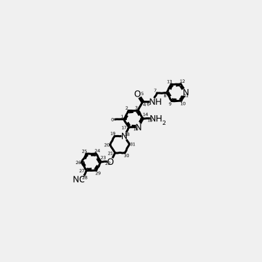 Cc1cc(C(=O)NCc2ccncc2)c(N)nc1N1CCC(Oc2cccc(C#N)c2)CC1